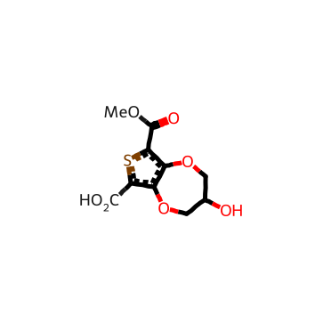 COC(=O)c1sc(C(=O)O)c2c1OCC(O)CO2